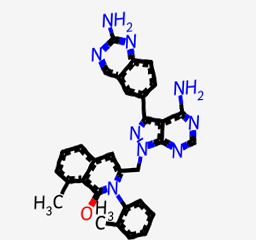 Cc1ccccc1-n1c(Cn2nc(-c3ccc4nc(N)ncc4c3)c3c(N)ncnc32)cc2cccc(C)c2c1=O